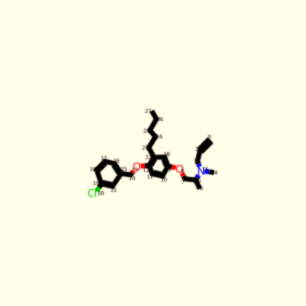 C#CCN(C)C(C)COc1ccc(OCc2cccc(Cl)c2)c(CCCCC)c1